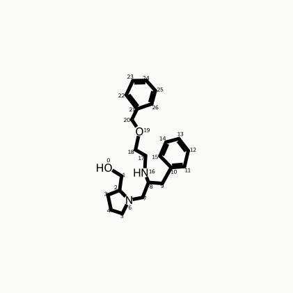 OCC1CCCN1CC(Cc1ccccc1)NCCOCc1ccccc1